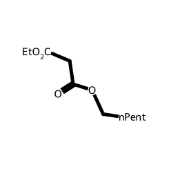 CCCCCCOC(=O)CC(=O)OCC